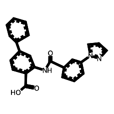 O=C(Nc1cc(-c2ccccc2)ccc1C(=O)O)c1cccc(-n2cccn2)c1